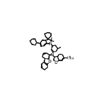 CC1CC(N(C2C=CCC3C4=C(CCC=C4)OC32)C2COC3C=C(C(C)(C)C)CCC32)=CC(N2C3=CC=C(C4CCCCC4)CC3C3(CCCCC3)C2(C)C)C1